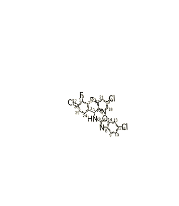 Fc1cc(C(Nc2nc3ccc(Cl)cc3o2)c2ncc(Cl)cc2F)ccc1Cl